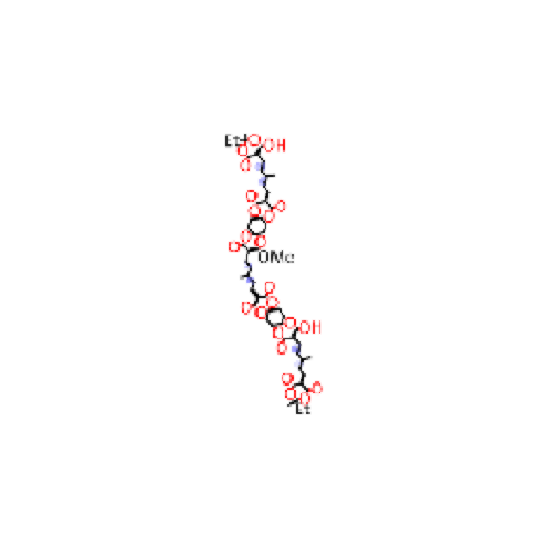 CCC1(C)OC(=O)C(=C/C=C(C)/C=C/C2=C(O)OC3(CCC4(CC3)OC(=O)C(=C/C=C(C)/C=C/C3=C(OC)OC5(CCC6(CC5)OC(=O)C(=C/C=C(C)/C=C/C5=C(O)OC(C)(CC)OC5=O)C(=O)O6)OC3=O)C(=O)O4)OC2=O)C(=O)O1